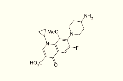 COc1c(N2CCC(N)CC2)c(F)cc2c(=O)c(C(=O)O)cn(C3CC3)c12